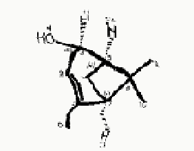 CC1=C[C@@H](O)[C@@H]2C[C@H]1C2(C)C